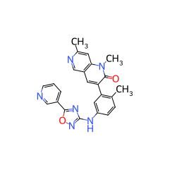 Cc1cc2c(cn1)cc(-c1cc(Nc3noc(-c4cccnc4)n3)ccc1C)c(=O)n2C